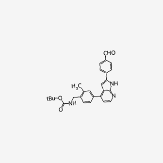 Cc1cc(-c2ccnc3[nH]c(-c4ccc(C=O)cc4)cc23)ccc1CNC(=O)OC(C)(C)C